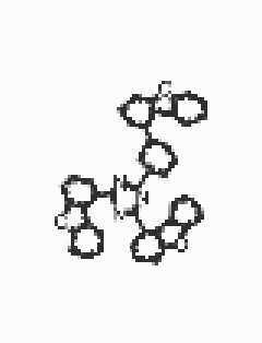 c1cc(-c2nc(-c3cccc4oc5ccccc5c34)nc(-c3cccc4oc5ccccc5c34)n2)cc(-c2cccc3oc4ccccc4c23)c1